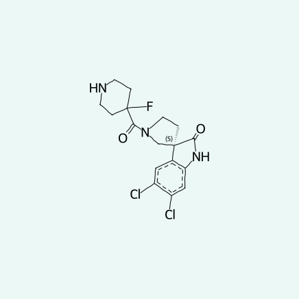 O=C(N1CC[C@]2(C1)C(=O)Nc1cc(Cl)c(Cl)cc12)C1(F)CCNCC1